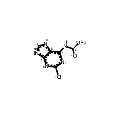 CC(C)(C)[C@@H](Cl)Nc1nc(Cl)nc2[nH]cnc12